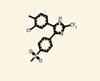 Cc1ccc(-c2[nH]c(C(F)(F)F)nc2-c2ccc(S(C)(=O)=O)cc2)cc1Cl